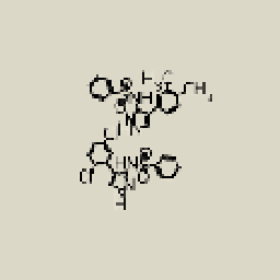 Cc1ccc(-c2c[nH]nc2NS(=O)(=O)c2ccccc2)cc1C.O=S(=O)(Nc1n[nH]cc1-c1cc(Cl)ccc1Cl)c1ccccc1